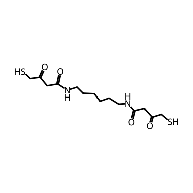 O=C(CS)CC(=O)NCCCCCCNC(=O)CC(=O)CS